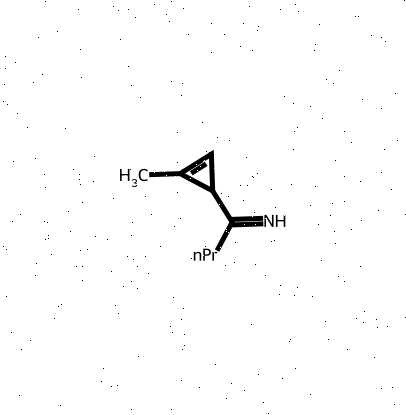 CCCC(=N)C1C=C1C